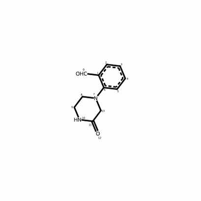 O=Cc1ccccc1N1CCNC(=O)C1